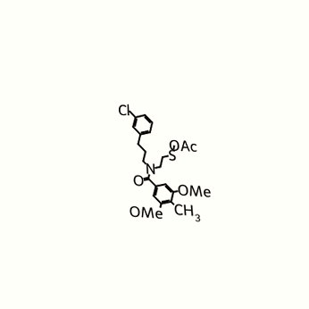 COc1cc(C(=O)N(CCCc2cccc(Cl)c2)CCSOC(C)=O)cc(OC)c1C